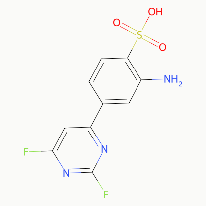 Nc1cc(-c2cc(F)nc(F)n2)ccc1S(=O)(=O)O